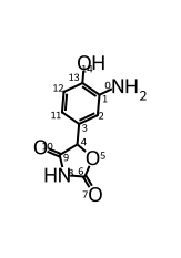 Nc1cc(C2OC(=O)NC2=O)ccc1O